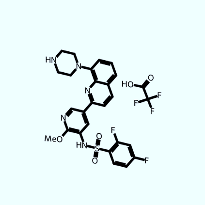 COc1ncc(-c2ccc3cccc(N4CCNCC4)c3n2)cc1NS(=O)(=O)c1ccc(F)cc1F.O=C(O)C(F)(F)F